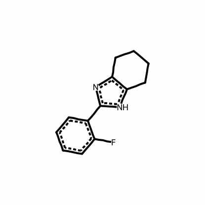 Fc1ccccc1-c1nc2c([nH]1)CCCC2